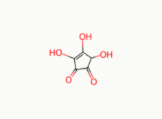 O=C1C(=O)C(O)C(O)=C1O